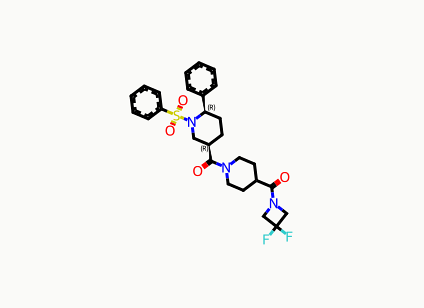 O=C(C1CCN(C(=O)[C@@H]2CC[C@H](c3ccccc3)N(S(=O)(=O)c3ccccc3)C2)CC1)N1CC(F)(F)C1